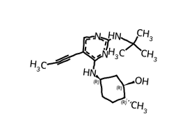 CC#Cc1cnc(NC(C)(C)C)nc1N[C@@H]1CC[C@@H](C)[C@H](O)C1